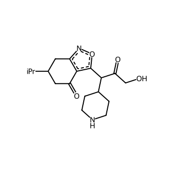 CC(C)C1CC(=O)c2c(noc2C(C(=O)CO)C2CCNCC2)C1